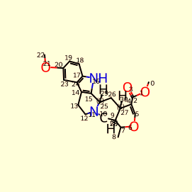 COC(=O)C1=COC(C)[C@@H]2CN3CCc4c([nH]c5ccc(OC)cc45)[C@@H]3C[C@H]12